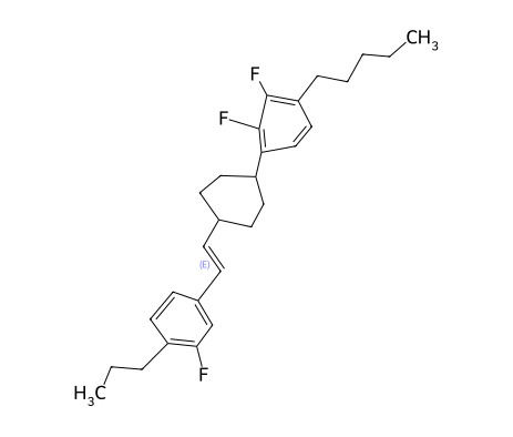 CCCCCc1ccc(C2CCC(/C=C/c3ccc(CCC)c(F)c3)CC2)c(F)c1F